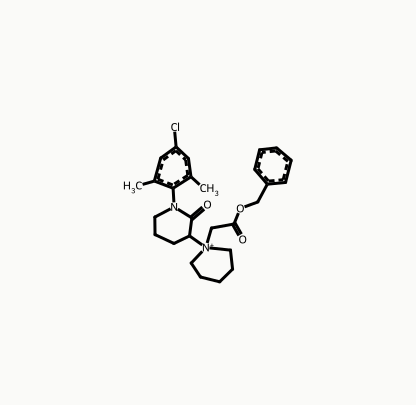 Cc1cc(Cl)cc(C)c1N1CCCC([N+]2(CC(=O)OCc3ccccc3)CCCCC2)C1=O